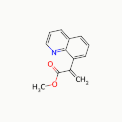 C=C(C(=O)OC)c1cccc2cccnc12